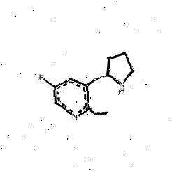 Cc1ncc(F)cc1[C@H]1CCCN1